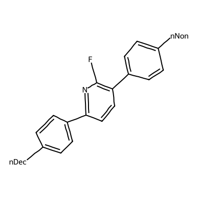 CCCCCCCCCCc1ccc(-c2ccc(-c3ccc(CCCCCCCCC)cc3)c(F)n2)cc1